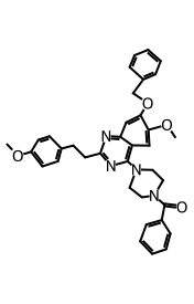 COc1ccc(CCc2nc(N3CCN(C(=O)c4ccccc4)CC3)c3cc(OC)c(OCc4ccccc4)cc3n2)cc1